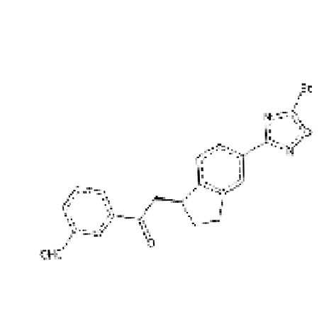 CCc1nc(-c2ccc3c(c2)CC[C@H]3CC(=O)c2cccc(C=O)c2)no1